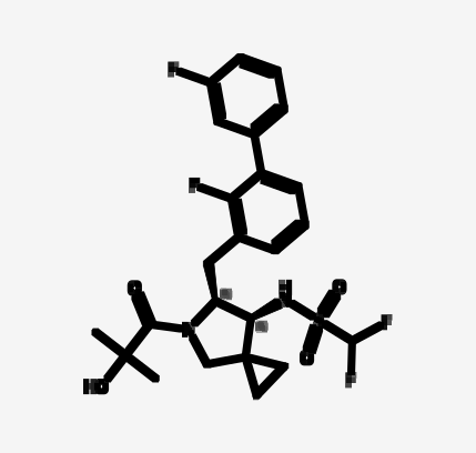 CC(C)(O)C(=O)N1CC2(CC2)[C@H](NS(=O)(=O)C(F)F)[C@@H]1Cc1cccc(-c2cccc(F)c2)c1F